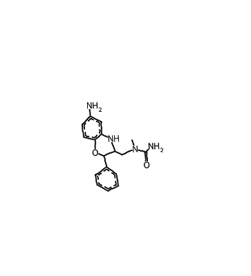 CN(CC1Nc2cc(N)ccc2OC1c1ccccc1)C(N)=O